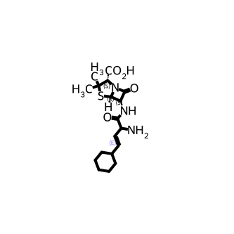 CC1(C)S[C@@H]2[C@@H](NC(=O)C(N)/C=C/C3CCCCC3)C(=O)N2[C@H]1C(=O)O